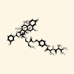 CCN(COCC(=O)[C@@]12O[C@H](c3cccc(F)c3)O[C@@H]1C[C@H]1[C@@H]3C[C@H](F)C4=CC(=O)C=C[C@]4(C)[C@@]3(F)[C@@H](O)C[C@@]12C)C(=O)OCc1ccc(NC(=O)[C@H](C)NC(=O)[C@@H](N)C(C)C)cc1